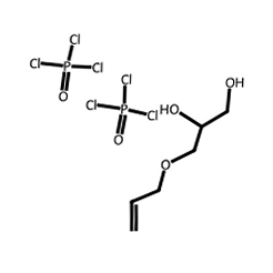 C=CCOCC(O)CO.O=P(Cl)(Cl)Cl.O=P(Cl)(Cl)Cl